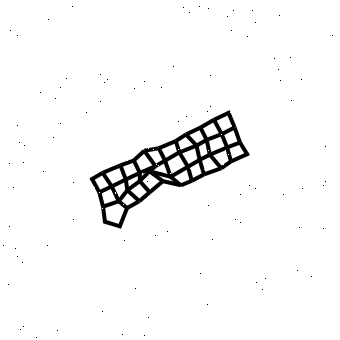 C1CC2C3C4C5C6C7C8C9C%10CC%11C%12CC%13C%14C%15C%16C%17C%18C%19C%20C%21CC%22C1C21C%22%21C%202C31C41C%192C%182C51C61C73C84C95C%11%10C%12%13C%145C%154C%163C%1721